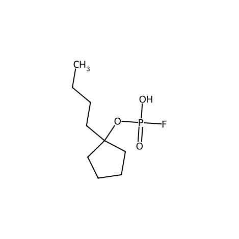 CCCCC1(OP(=O)(O)F)CCCC1